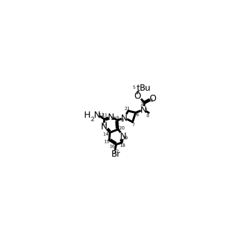 CN(C(=O)OC(C)(C)C)C1CN(c2nc(N)nc3cc(Br)cnc23)C1